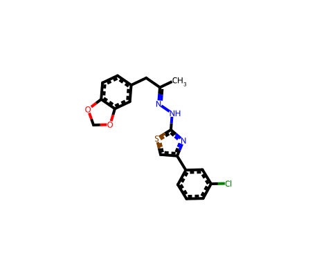 CC(Cc1ccc2c(c1)OCO2)=NNc1nc(-c2cccc(Cl)c2)cs1